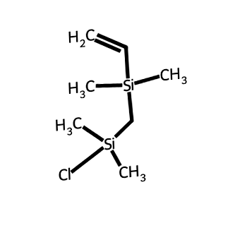 C=C[Si](C)(C)C[Si](C)(C)Cl